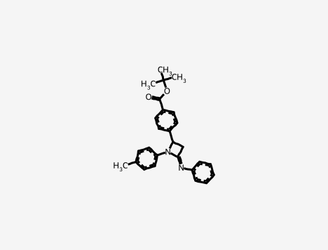 Cc1ccc(N2/C(=N/c3ccccc3)CC2c2ccc(C(=O)OC(C)(C)C)cc2)cc1